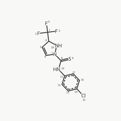 FC(F)(F)C1C=CN(C(=S)Nc2ccc(Cl)cc2)N1